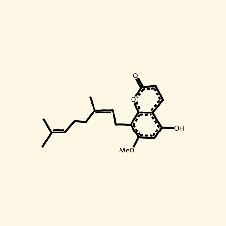 COc1cc(O)c2ccc(=O)oc2c1CC=C(C)CCC=C(C)C